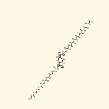 CCCCCCCCCCCCCCCCCCCCCCOC(=O)c1ccc(C(=O)OCCCCCCCCCCCCCCCCCCCCCC)cc1